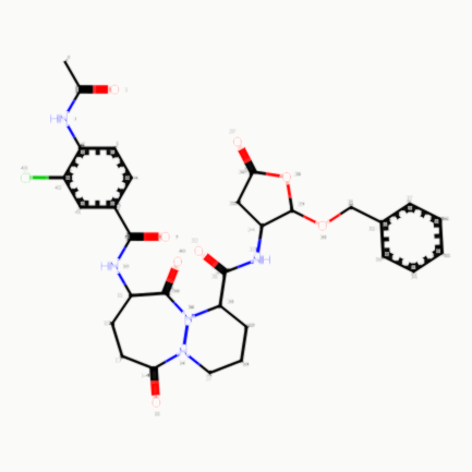 CC(=O)Nc1ccc(C(=O)NC2CCC(=O)N3CCCC(C(=O)NC4CC(=O)OC4OCc4ccccc4)N3C2=O)cc1Cl